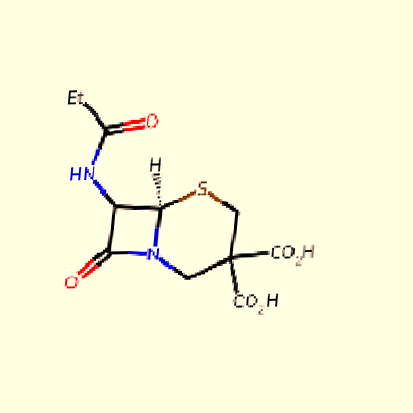 CCC(=O)NC1C(=O)N2CC(C(=O)O)(C(=O)O)CS[C@H]12